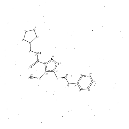 O=C(NCC1CCOC1)c1noc(COCc2ccccc2)c1CO